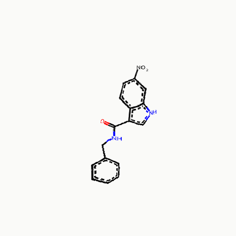 O=C(NCc1ccccc1)c1c[nH]c2cc([N+](=O)[O-])ccc12